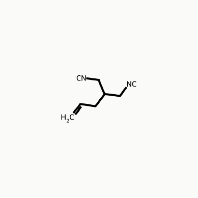 [C-]#[N+]CC(CC=C)C[N+]#[C-]